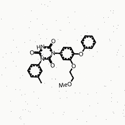 COCCOc1cc(-n2c(=O)[nH]c(=O)n(-c3cccc(C)c3)c2=O)ccc1Oc1ccccc1